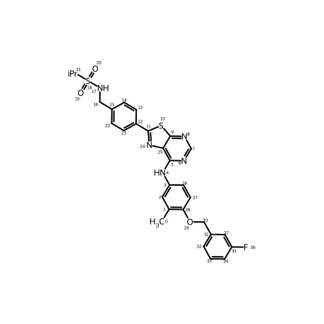 Cc1cc(Nc2ncnc3sc(-c4ccc(CNS(=O)(=O)C(C)C)cc4)nc23)ccc1OCc1cccc(F)c1